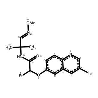 CCC(Oc1ccc2ncc(I)cc2c1)C(=O)NC(C)(C)C=NOC